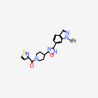 CC(C)n1ncc2ccc(-c3noc(C4CCN(C(=O)c5ccsn5)CC4)n3)cc21